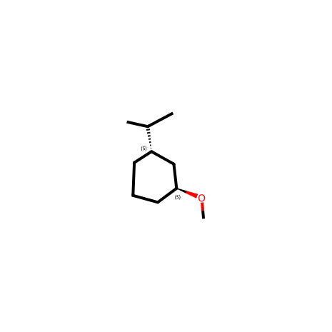 CO[C@H]1CCC[C@H](C(C)C)C1